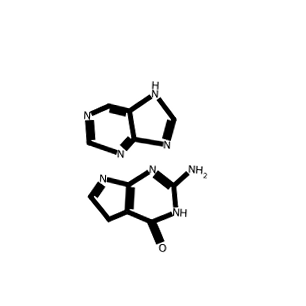 Nc1nc2c(c(=O)[nH]1)CC=N2.c1ncc2[nH]cnc2n1